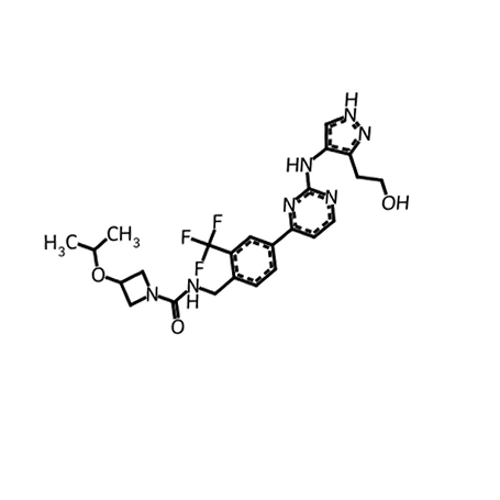 CC(C)OC1CN(C(=O)NCc2ccc(-c3ccnc(Nc4c[nH]nc4CCO)n3)cc2C(F)(F)F)C1